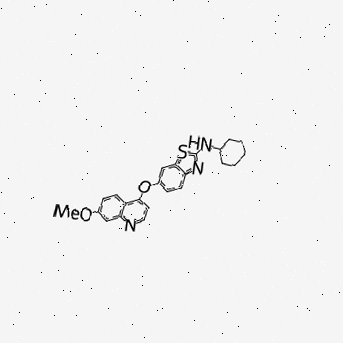 COc1ccc2c(Oc3ccc4nc(NC5CCCCC5)sc4c3)ccnc2c1